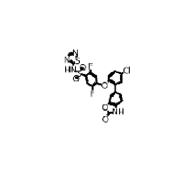 O=c1[nH]c2ccc(-c3cc(Cl)ccc3Oc3cc(F)c(S(=O)(=O)Nc4ncns4)cc3F)cc2o1